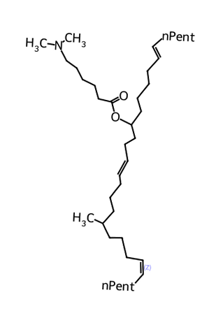 CCCCCC=CCCCCC(CCC=CCCCC(C)CCC/C=C\CCCCC)OC(=O)CCCCCN(C)C